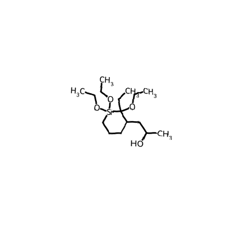 CCOC1(CC)C(CC(C)O)CCC[Si]1(OCC)OCC